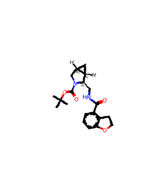 CC(C)(C)OC(=O)N1C[C@@H]2C[C@@H]2[C@H]1CNC(=O)c1cccc2c1CCO2